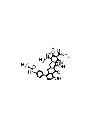 CCC(=O)Nc1ccc(-c2ccc(O)c3c2CC2CC4C(N(C)C)C(O)=C(C(N)=O)C(=O)C4(O)C(O)=C2C3=O)cc1